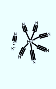 N#[C][Fe-4]([C]#N)([C]#N)([C]#N)([C]#N)[C]#N.[C-]#N.[K+]